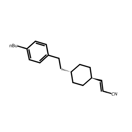 CCCCc1ccc(CC[C@H]2CC[C@H](C=CC#N)CC2)cc1